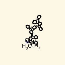 C=C(C)c1c(/C=C\C)c2ccc3c(c4ccccc4n3-c3ccc4c(c3)C3=CC(n5c6ccccc6c6ccc7c(c8ccccc8n7-c7ccccc7)c65)=CCC3N4c3ccccc3)c2n1-c1ccccc1